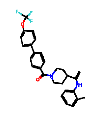 C=C(Nc1ccccc1C)C1CCN(C(=O)c2ccc(-c3ccc(OC(F)(F)F)cc3)cc2)CC1